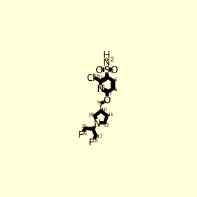 NS(=O)(=O)c1ccc(OC[C@@H]2CCN(C(CF)CF)C2)nc1Cl